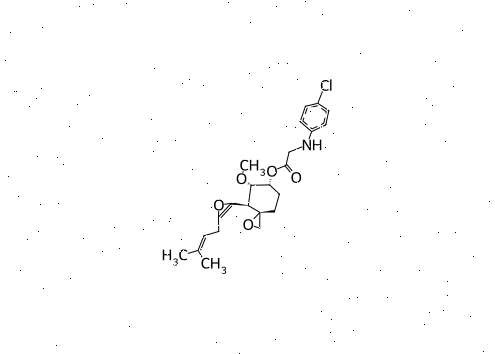 CO[C@@H]1[C@H](OC(=O)CNc2ccc(Cl)cc2)CC[C@]2(CO2)[C@H]1C1=C(CC=C(C)C)O1